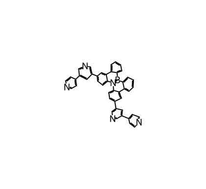 c1ccc2c(c1)B1c3ccccc3-c3cc(-c4cncc(-c5ccncc5)c4)ccc3N1c1ccc(-c3cncc(-c4ccncc4)c3)cc1-2